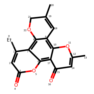 CCc1[c]c(=O)oc2c1c1c(c3oc(C)cc(=O)c32)C=C(C)CO1